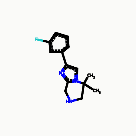 CC1(C)CNCc2nc(-c3cccc(F)c3)cn21